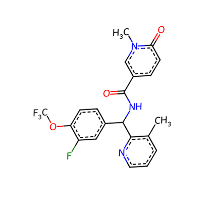 Cc1cccnc1C(NC(=O)c1ccc(=O)n(C)c1)c1ccc(OC(F)(F)F)c(F)c1